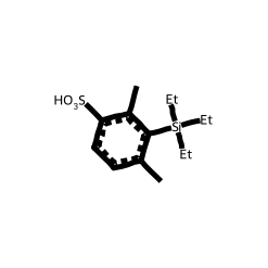 CC[Si](CC)(CC)c1c(C)ccc(S(=O)(=O)O)c1C